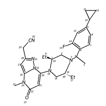 CC[C@H]1CN(C(C)c2ccc(C3CC3)cc2F)[C@H](CC)CN1c1cc(=O)n(C)c2cc(CC#N)nn12